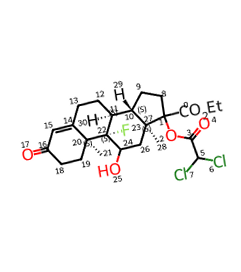 CCOC(=O)C1(OC(=O)C(Cl)Cl)CC[C@H]2[C@@H]3CCC4=CC(=O)CC[C@]4(C)[C@]3(F)C(O)C[C@@]21C